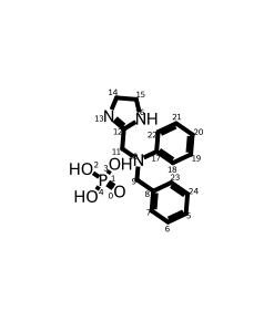 O=P(O)(O)O.c1ccc(CN(CC2=NCCN2)c2ccccc2)cc1